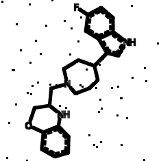 Fc1ccc2[nH]cc(C3CCCN(CC4COc5ccccc5N4)CC3)c2c1